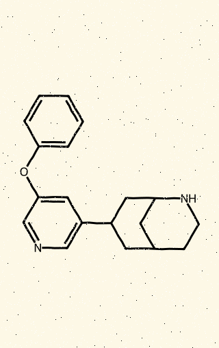 c1ccc(Oc2cncc(C3CC4CCNC(C4)C3)c2)cc1